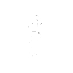 C=C[C@H](CC[C@@H]1COC(C)(C)O1)OC(=O)C(O)N1C[C@H](N2C(=O)c3ccccc3C2=O)C1=O